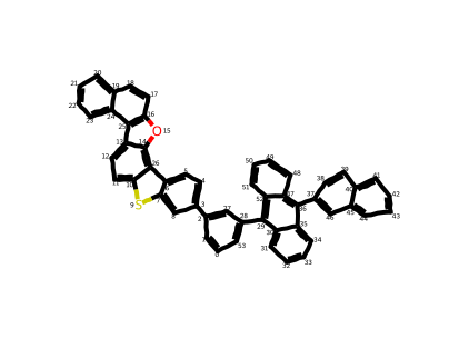 c1cc(-c2ccc3c(c2)sc2ccc4c(oc5ccc6ccccc6c54)c23)cc(-c2c3ccccc3c(-c3ccc4ccccc4c3)c3ccccc23)c1